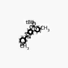 C[C@H]1CC[C@H](c2ccc3sc(C4=CCN(C)CCC4)nc3c2)N(C(=O)OC(C)(C)C)C1